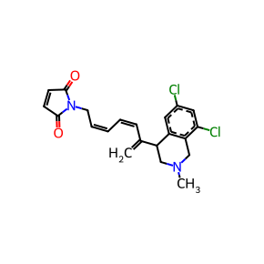 C=C(/C=C\C=C/CN1C(=O)C=CC1=O)C1CN(C)Cc2c(Cl)cc(Cl)cc21